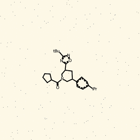 CC(C)c1ccc(C2CC(c3nc(C(C)(C)C)no3)CN(C(=O)C3CCCC3)C2)cc1